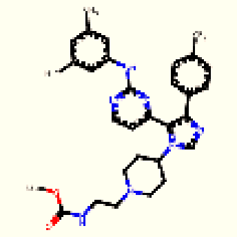 Cc1cc(C)cc(Nc2nccc(-c3c(-c4ccc(C(F)(F)F)cc4)ncn3C3CCN(CCNC(=O)OC(C)(C)C)CC3)n2)c1